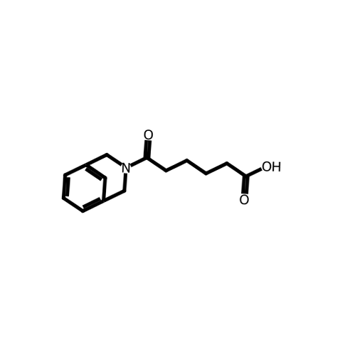 O=C(O)CCCCC(=O)N1Cc2cccc(c2)C1